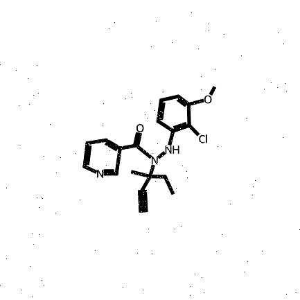 C#CC(C)(CC)N(Nc1cccc(OC)c1Cl)C(=O)c1cccnc1